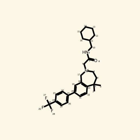 CC1(C)CCN(CC(=O)NCC2CCCCC2)Cc2cc(-c3ccc(C(F)(F)F)cc3)ccc21